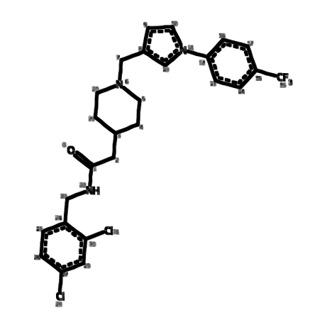 O=C(CC1CCN(Cc2ccn(-c3ccc(C(F)(F)F)cc3)c2)CC1)NCc1ccc(Cl)cc1Cl